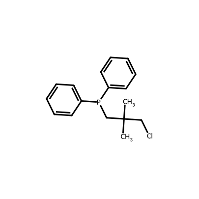 CC(C)(CCl)CP(c1ccccc1)c1ccccc1